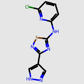 Clc1cccc(Nc2nc(-c3cn[nH]c3)ns2)n1